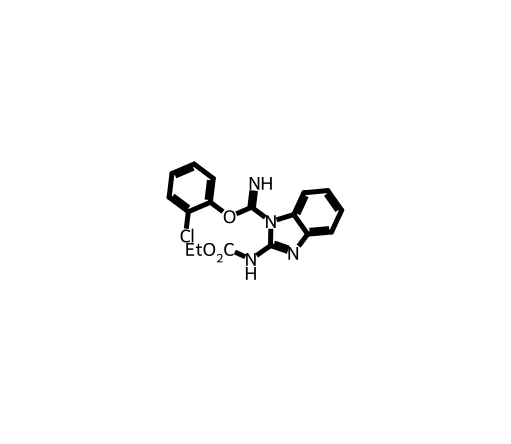 CCOC(=O)Nc1nc2ccccc2n1C(=N)Oc1ccccc1Cl